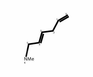 C=CCC=CCNC